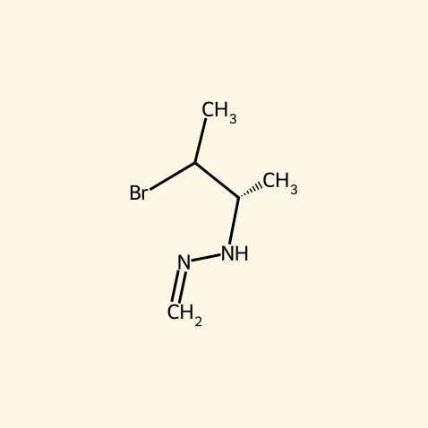 C=NN[C@@H](C)C(C)Br